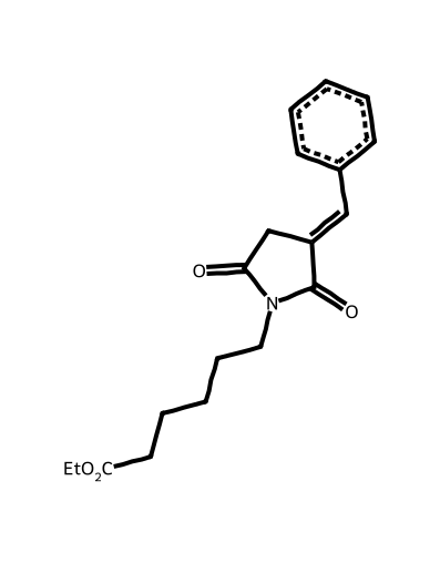 CCOC(=O)CCCCCN1C(=O)C/C(=C\c2ccccc2)C1=O